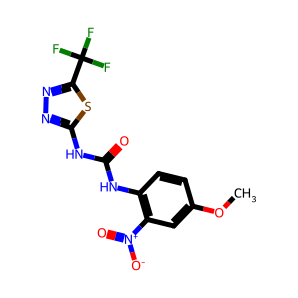 COc1ccc(NC(=O)Nc2nnc(C(F)(F)F)s2)c([N+](=O)[O-])c1